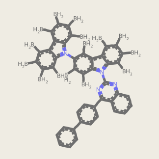 Bc1c(B)c(B)c2c(c1B)c1c(B)c(-n3c4c(B)c(B)c(B)c(B)c4c4c(B)c(B)c(B)c(B)c43)c(B)c(B)c1n2-c1nc(-c2ccc(-c3ccccc3)cc2)c2ccccc2n1